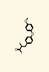 COc1ccc(Oc2ccc(CC(I)C(=O)I)cc2)cc1